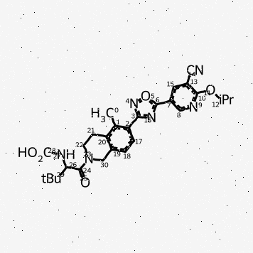 Cc1c(-c2noc(-c3cnc(OC(C)C)c(C#N)c3)n2)ccc2c1CCN(C(=O)C(NC(=O)O)C(C)(C)C)C2